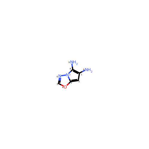 Nc1cc2ocnn2c1N